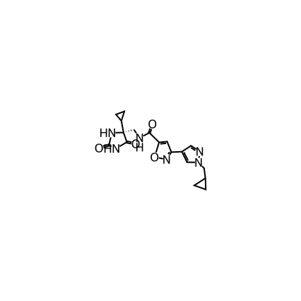 O=C1NC(=O)[C@](CNC(=O)c2cc(-c3cnn(CC4CC4)c3)no2)(C2CC2)N1